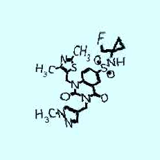 Cc1nc(C)c(Cn2c(=O)n(Cc3cnn(C)c3)c(=O)c3cc(S(=O)(=O)NC4(CF)CC4)ccc32)s1